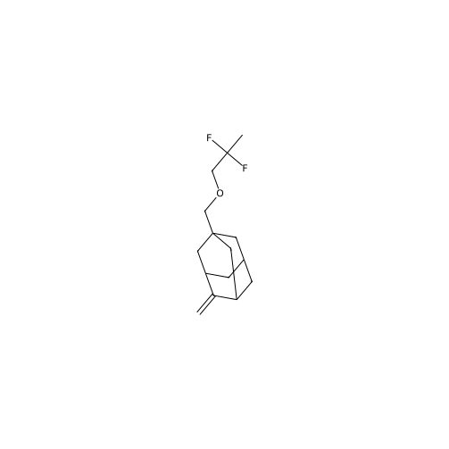 C=C1C2CC3CC1CC(COCC(C)(F)F)(C3)C2